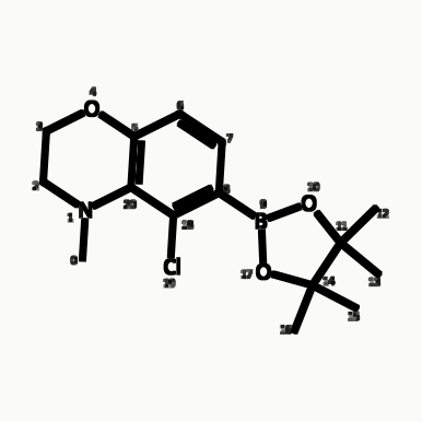 CN1CCOc2ccc(B3OC(C)(C)C(C)(C)O3)c(Cl)c21